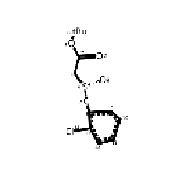 CC(C)(C)OC(=O)C[S@+]([O-])Cc1ccccc1Cl